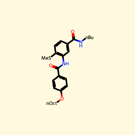 CCCCCCCCOc1ccc(C(=O)Nc2cc(C(=O)NCCCC)ccc2SC)cc1